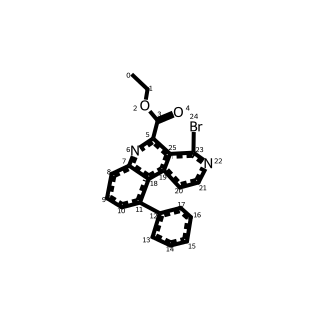 CCOC(=O)c1nc2cccc(-c3ccccc3)c2c2ccnc(Br)c12